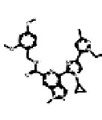 CCn1nc(C)cc1-c1cn(C2CC2)c(-c2nc(C(=O)NCc3ccc(OC)cc3OC)cc3c2cnn3C)n1